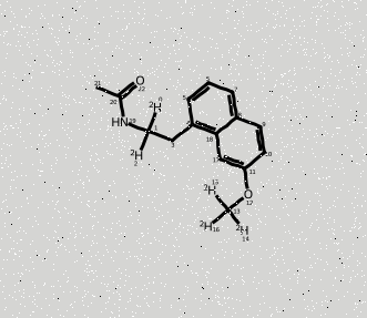 [2H]C([2H])(Cc1cccc2ccc(OC([2H])([2H])[2H])cc12)NC(C)=O